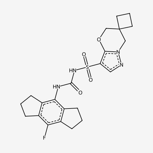 O=C(Nc1c2c(c(F)c3c1CCC3)CCC2)NS(=O)(=O)c1cnn2c1OCC1(CCC1)C2